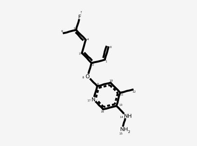 C=C/C(=C\C=C(/C)F)Oc1cc(C)c(NN)cn1